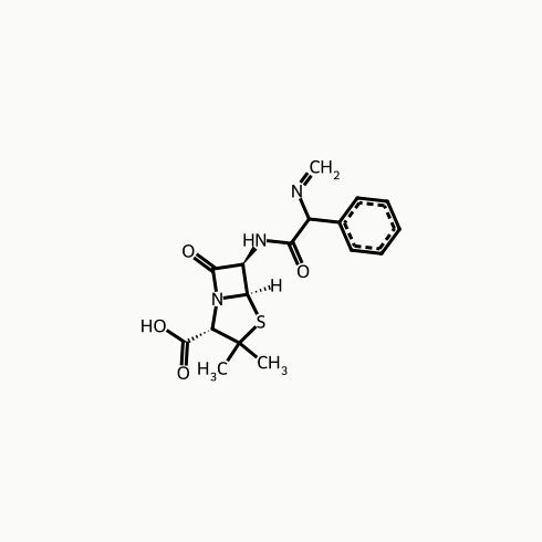 C=NC(C(=O)N[C@@H]1C(=O)N2[C@@H]1SC(C)(C)[C@@H]2C(=O)O)c1ccccc1